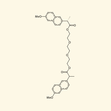 COc1ccc2cc(C(C)C(=O)OCCOCCOCCOC(=O)[C@@H](C)c3ccc4cc(OC)ccc4c3)ccc2c1